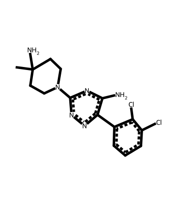 CC1(N)CCN(c2nnc(-c3cccc(Cl)c3Cl)c(N)n2)CC1